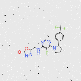 CC(F)(F)c1ccc(C2CCCN2c2ncnc(NCc3nnc(O)o3)c2F)cc1